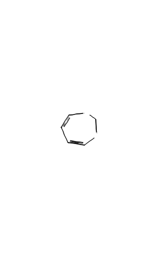 [CH]1OC=CC=CS1